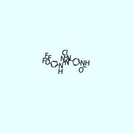 CC(=O)Nc1ccc(-c2nc(Cl)nc(Nc3ccc(OC(F)(F)F)cc3)n2)cc1